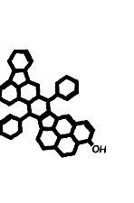 OC1C=CC2=CC3C4=C(C5CCC6CCC1C2C6C35)C(C1C=CCCC1)C1C(CC2C3C=CCCC3C3=CCCC1C32)C4C1C=CCCC1